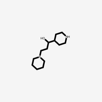 OC(CCN1CCCCC1)C1CCNCC1